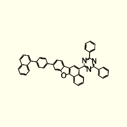 c1ccc(-c2nc(-c3ccccc3)nc(-c3cc4c5ccc(-c6ccc(-c7cccc8ccccc78)cc6)cc5oc4c4ccccc34)n2)cc1